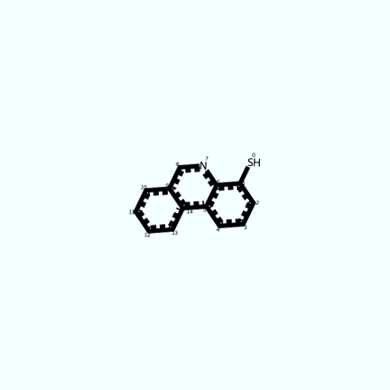 Sc1cccc2c1ncc1ccccc12